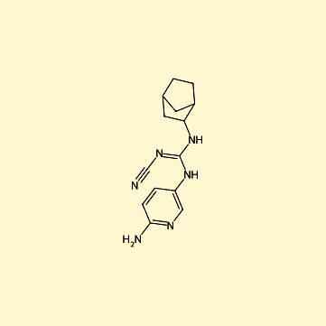 N#CN=C(Nc1ccc(N)nc1)NC1CC2CCC1C2